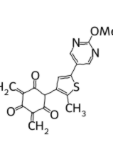 C=C1C(=O)C(=C)C(=O)C(c2cc(-c3cnc(OC)nc3)sc2C)C1=O